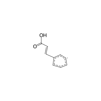 O=C(O)/C=C/c1c[c]ccc1